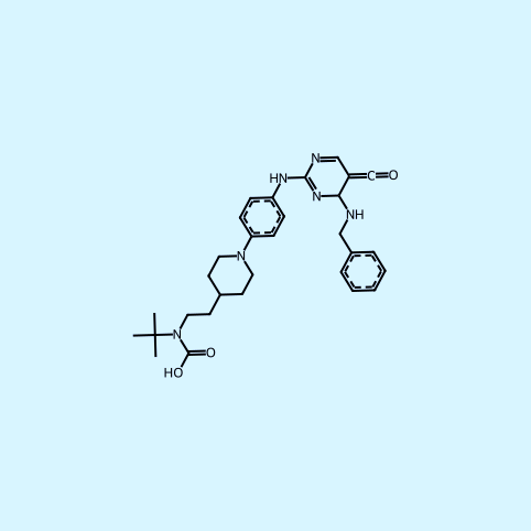 CC(C)(C)N(CCC1CCN(c2ccc(NC3=NC(NCc4ccccc4)C(=C=O)C=N3)cc2)CC1)C(=O)O